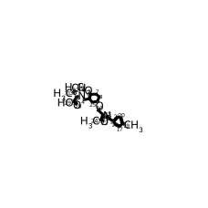 CC(=O)N(CC1CCCC(OCc2nc(-c3ccc(C)cc3)oc2C)C1)[C@H](C(=O)O)C(C)C